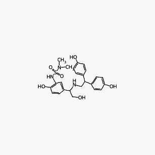 CN(C)S(=O)(=O)Nc1cc(C(CO)NCC(c2ccc(O)cc2)c2ccc(O)cc2)ccc1O